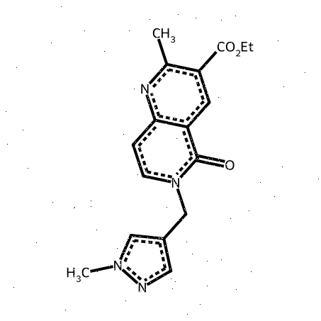 CCOC(=O)c1cc2c(=O)n(Cc3cnn(C)c3)ccc2nc1C